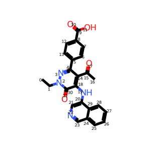 CCn1nc(-c2ccc(C(=O)O)cc2)c(C(C)=O)c(Nc2cncc3ccccc23)c1=O